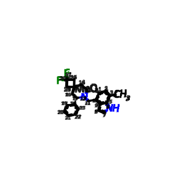 COc1cc(C)c2[nH]ccc2c1CN1CCC2(C[C@H]1c1ccccc1)CC(F)(F)C2